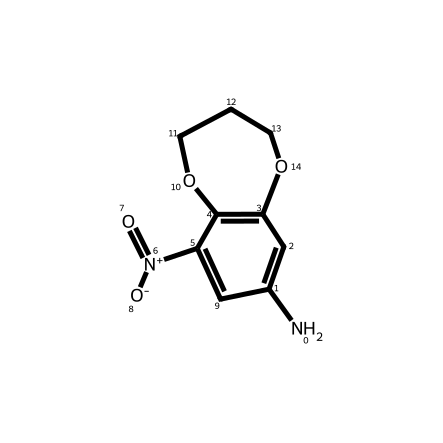 Nc1cc2c(c([N+](=O)[O-])c1)OCCCO2